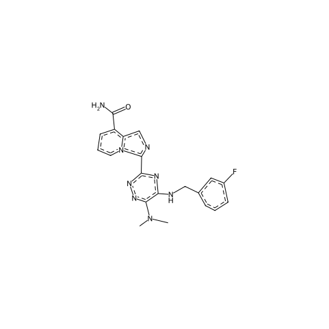 CN(C)c1nnc(-c2ncc3c(C(N)=O)cccn23)nc1NCc1cccc(F)c1